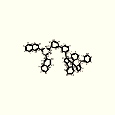 c1ccc(N2c3ccccc3C3(c4ccccc4-c4ccc(-c5cccc(-c6cccc(-c7nc(-c8ccc9ccccc9c8)nc(-c8ccc9ccccc9c8)n7)c6)c5)cc43)c3ccccc32)cc1